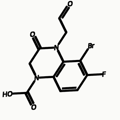 O=CCN1C(=O)CN(C(=O)O)c2ccc(F)c(Br)c21